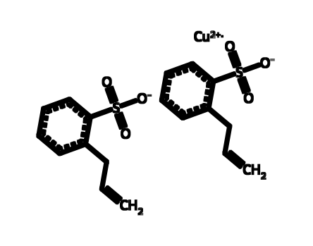 C=CCc1ccccc1S(=O)(=O)[O-].C=CCc1ccccc1S(=O)(=O)[O-].[Cu+2]